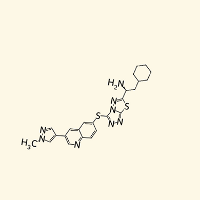 Cn1cc(-c2cnc3ccc(Sc4nnc5sc([C@@H](N)CC6CCCCC6)nn45)cc3c2)cn1